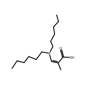 CCCCCCN(C=C(C)C(=O)O)CCCCCC